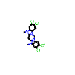 CN1C2=Cc3n(c4cc(Cl)c(Cl)cc4[n+]3C)CN2c2cc(Cl)c(Cl)cc21